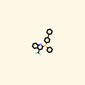 FC(F)c1cc(P(c2ccccc2)c2ccc(-c3ccccc3)cc2)nc2ccccc12